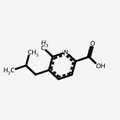 Cc1nc(C(=O)O)ccc1CC(C)C